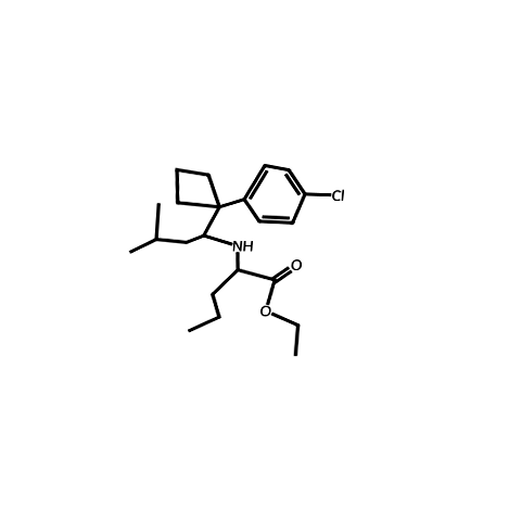 CCCC(NC(CC(C)C)C1(c2ccc(Cl)cc2)CCC1)C(=O)OCC